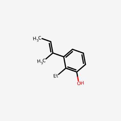 C/C=C(\C)c1cccc(O)c1CC